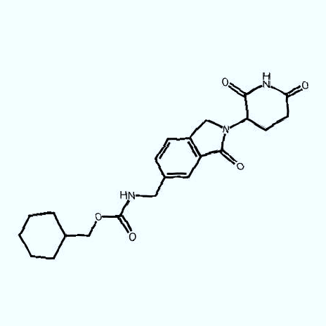 O=C1CCC(N2Cc3ccc(CNC(=O)OCC4CCCCC4)cc3C2=O)C(=O)N1